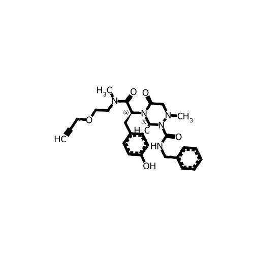 C#CCOCCN(C)C(=O)[C@H](Cc1ccc(O)cc1)N1C(=O)CN(C)N(C(=O)NCc2ccccc2)[C@H]1C